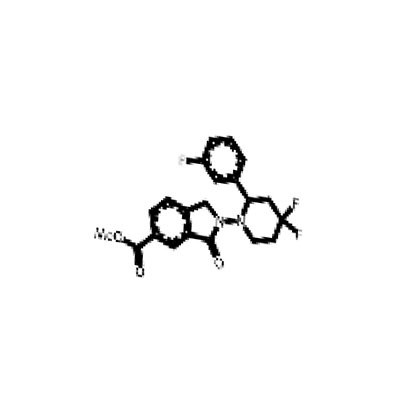 COC(=O)c1ccc2c(c1)C(=O)N(N1CCC(F)(F)CC1c1cccc(F)c1)C2